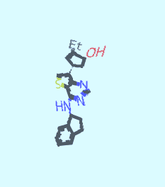 CCC1=C[C@@H](c2csc3c(N[C@H]4CCc5ccccc54)ncnc23)C[C@H]1O